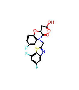 O=C(O)CC1Oc2ccc(F)cc2N(Cc2nc3cc(F)cc(F)c3s2)C1=O